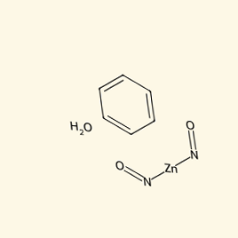 O.O=[N][Zn][N]=O.c1ccccc1